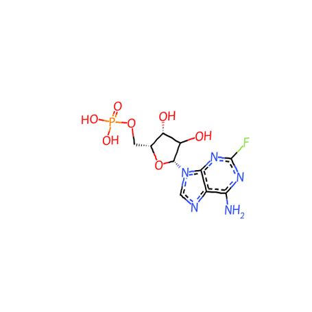 Nc1nc(F)nc2c1ncn2[C@@H]1O[C@H](COP(=O)(O)O)[C@H](O)C1O